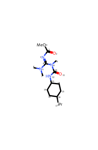 COC(=O)/N=C(/N(C)C)N(C)C(=O)NC1CCC(C(C)C)CC1